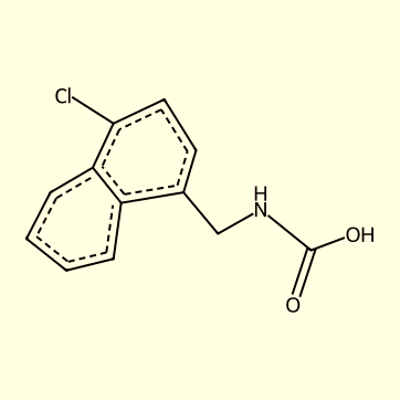 O=C(O)NCc1ccc(Cl)c2ccccc12